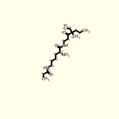 CCCC(C)(CC)C(=O)CCNC(=O)[C@@H](N)CCCCNC(=O)CC